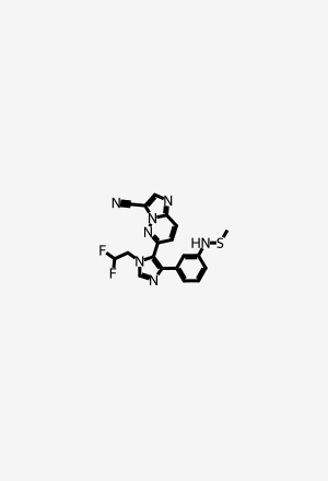 CSNc1cccc(-c2ncn(CC(F)F)c2-c2ccc3ncc(C#N)n3n2)c1